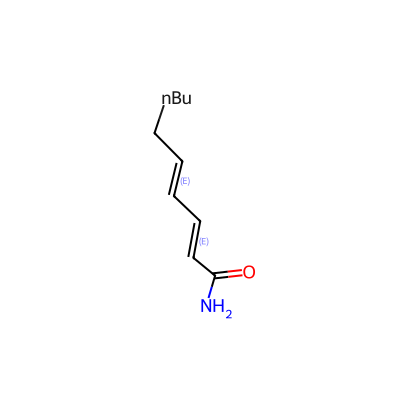 CCCCC/C=C/C=C/C(N)=O